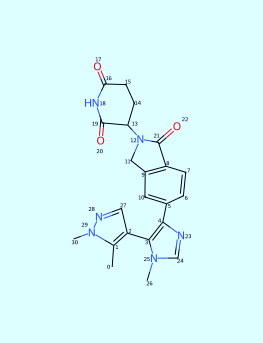 Cc1c(-c2c(-c3ccc4c(c3)CN(C3CCC(=O)NC3=O)C4=O)ncn2C)cnn1C